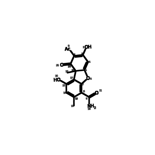 CC(=O)C1=C(O)C=C2Oc3c(C(N)=O)c(C)cc(O)c3C2(C)C1=O